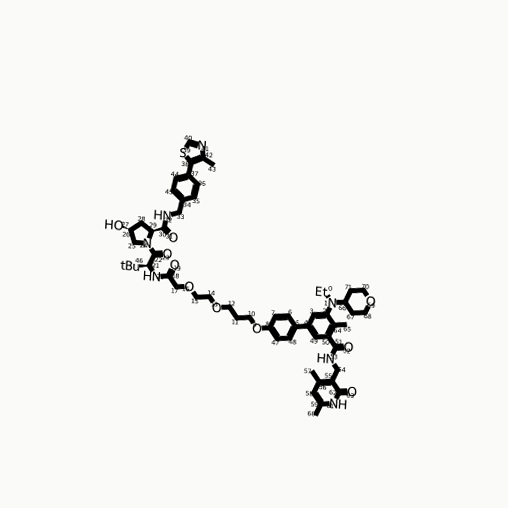 CCN(c1cc(-c2ccc(OCCCOCCOCC(=O)N[C@H](C(=O)N3C[C@H](O)C[C@H]3C(=O)NCc3ccc(-c4scnc4C)cc3)C(C)(C)C)cc2)cc(C(=O)NCc2c(C)cc(C)[nH]c2=O)c1C)C1CCOCC1